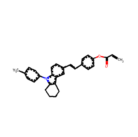 C=CC(=O)Oc1ccc(C=Cc2ccc3c(c2)c2c(n3-c3ccc(C)cc3)CCCC2)cc1